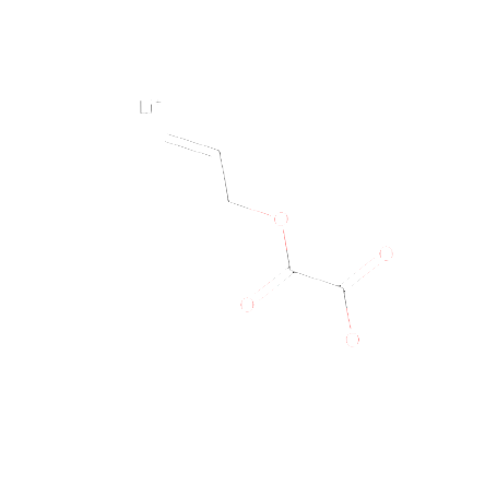 C=CCOC(=O)C(=O)[O-].[Li+]